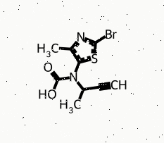 C#CC(C)N(C(=O)O)c1sc(Br)nc1C